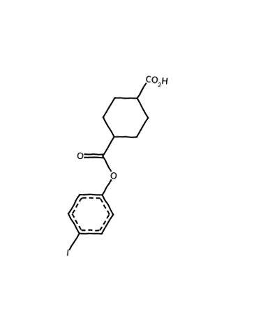 O=C(O)C1CCC(C(=O)Oc2ccc(I)cc2)CC1